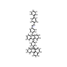 C(=C\c1ccc(-c2c3ccccc3c(-c3ccc(N(c4ccccc4)c4cccc5ccccc45)cc3)c3ccccc23)cc1)/c1ccc(-c2ccccc2)cc1